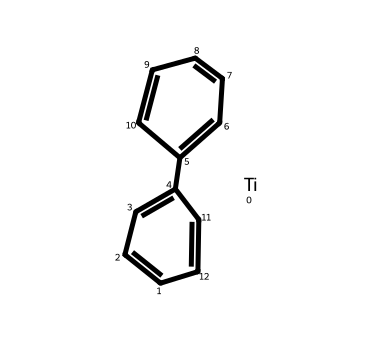 [Ti].c1ccc(-c2ccccc2)cc1